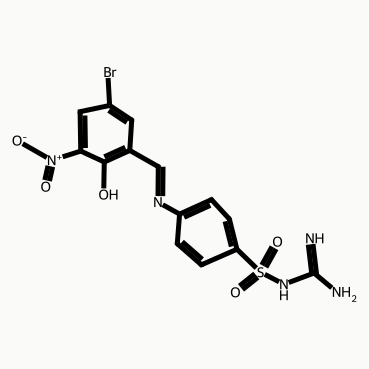 N=C(N)NS(=O)(=O)c1ccc(/N=C/c2cc(Br)cc([N+](=O)[O-])c2O)cc1